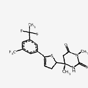 CN1C(=N)N[C@](C)(C2CC=C(c3cc(C(C)(F)F)cc(C(F)(F)F)c3)S2)CC1=O